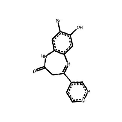 O=C1CC(c2ccnnc2)=Nc2cc(O)c(Br)cc2N1